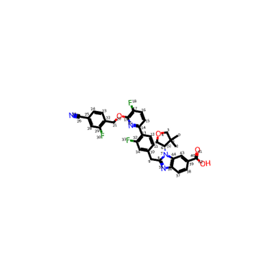 CC1(C)COC[C@H]1n1c(Cc2ccc(-c3ccc(F)c(OCc4ccc(C#N)cc4F)n3)c(F)c2)nc2ccc(C(=O)O)cc21